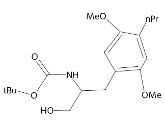 CCCc1cc(OC)c(CC(CO)NC(=O)OC(C)(C)C)cc1OC